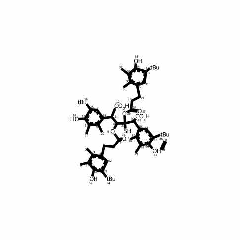 C=C.Cc1c(CCC(=O)OC(C(C(=O)O)c2cc(C(C)(C)C)c(O)c(C)c2C)C(S)(OC(=O)CCc2cc(C(C)(C)C)c(O)c(C)c2C)C(C(=O)O)c2cc(C(C)(C)C)c(O)c(C)c2C)cc(C(C)(C)C)c(O)c1C